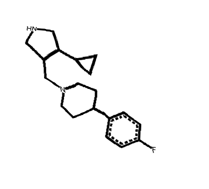 Fc1ccc(C2CCN(CC3CNCC3C3CC3)CC2)cc1